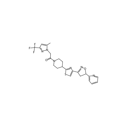 Cc1cc(C(F)(F)F)nn1CC(=O)N1CCC(c2nc(C3=NOC(c4ccccn4)C3)cs2)CC1